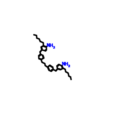 CCCCCCc1cc(Cc2ccc(CCCc3ccc(Cc4ccc(N)c(CCCCCC)c4)cc3)cc2)ccc1N